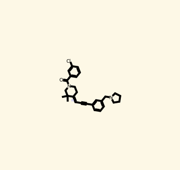 CC1(C)CN(C(=O)c2cccc(Cl)c2)CC/C1=C\C#Cc1cccc(CN2CCCC2)c1